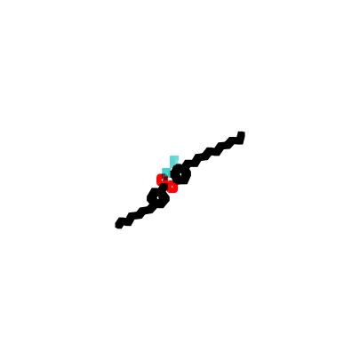 CCCCCCCCCCCc1ccc(OC(=O)c2ccc(CCCCCCC)cc2)c(F)c1F